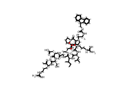 CCC(C)[C@H](NC(=O)[C@H](CC(C)C)NC(=O)[C@H](CCCNC(=N)N)NC(=O)[C@@H]1CCCN1C(=O)C1CCCN1C(=O)[C@@H](C)NC(=O)OCC1c2ccccc2-c2ccccc21)C(=O)N[C@@H](CSCNC(C)=O)C(=O)N[C@@H](CC(=O)O)C(=O)N[C@@H](CO)C(=O)N[C@@H](CCCNC(=N)N)C(C)=O